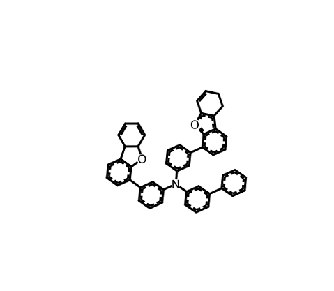 C1=CC2Oc3c(-c4cccc(N(c5cccc(-c6ccccc6)c5)c5cccc(-c6cccc7c8c(oc67)C=CCC8)c5)c4)cccc3C2C=C1